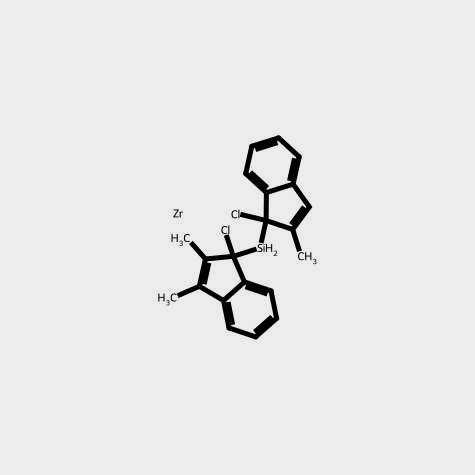 CC1=Cc2ccccc2C1(Cl)[SiH2]C1(Cl)C(C)=C(C)c2ccccc21.[Zr]